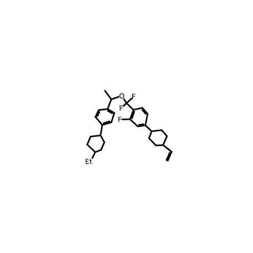 C=CC1CCC(c2ccc(C(F)(F)OC(C)c3ccc(C4CCC(CC)CC4)cc3)c(F)c2)CC1